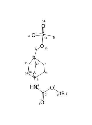 CC(C)(C)OC(=O)NC12CCC(COS(C)(=O)=O)(CC1)CC2